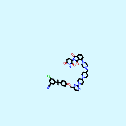 CC(C)(c1ccc(OCc2ccnc(N3CCC(N4CCC(CN5CCN(c6cccc7c6C(=O)N(C6CCC(=O)NC6=O)C7=O)CC5)CC4)CC3)n2)cc1)c1cc(Cl)cc(C#N)c1